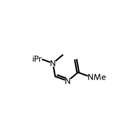 C=C(/N=C\N(C)C(C)C)NC